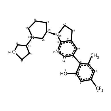 Cc1cc(C(F)(F)F)cc(O)c1-c1cc2c(nn1)N([C@@H]1CCCN(C3CCOC3)C1)CC2